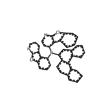 c1ccc2c(c1)ccc1c(N(c3cccc4oc5ncccc5c34)c3ccnc4oc5ccccc5c34)cc3ccccc3c12